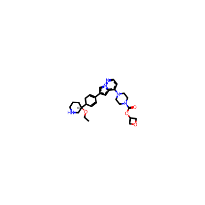 CCO[C@]1(C2C=CC(c3cc4c(N5CCN(C(=O)OC6COC6)CC5)ccnn4c3)=CC2)CCCNC1